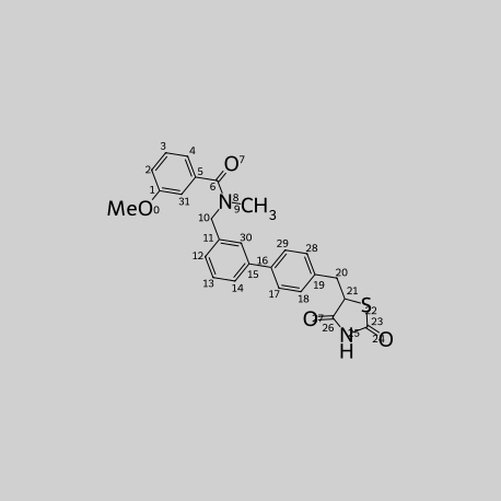 COc1cccc(C(=O)N(C)Cc2cccc(-c3ccc(CC4SC(=O)NC4=O)cc3)c2)c1